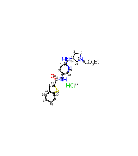 CCOC(=O)N1CC[C@H](Nc2ccc(NC(=O)c3cc4ccccc4s3)cn2)C1.Cl